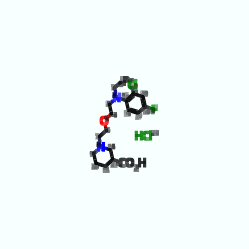 CC(C)CN(CCOCCN1CCCC(C(=O)O)C1)c1ccc(F)cc1Cl.Cl